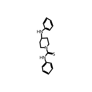 S=C(Nc1ccccc1)N1CCC(Nc2ccccc2)CC1